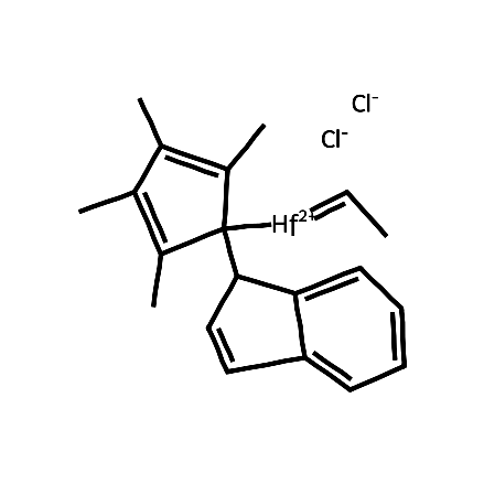 C[CH]=[Hf+2][C]1(C2C=Cc3ccccc32)C(C)=C(C)C(C)=C1C.[Cl-].[Cl-]